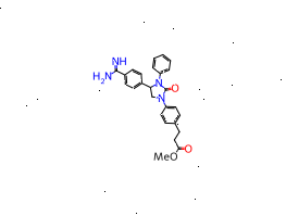 COC(=O)CCc1ccc(N2CC(c3ccc(C(=N)N)cc3)N(c3ccccc3)C2=O)cc1